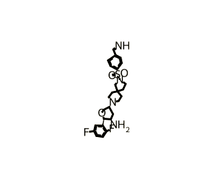 N=Cc1ccc(S(=O)(=O)N2CCC3(CCN([C@H]4CO[C@H](c5cc(F)ccc5F)[C@@H](N)C4)CC3)C2)cc1